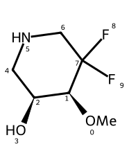 CO[C@H]1[C@@H](O)CNCC1(F)F